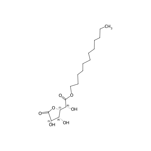 CCCCCCCCCCCCOC(=O)[C@H](O)[C@H]1OC(=O)[C@@H](O)[C@H]1O